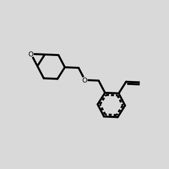 C=Cc1ccccc1COCC1CCC2OC2C1